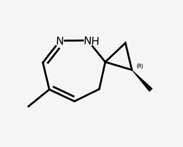 CC1=CCC2(C[C@H]2C)NN=C1